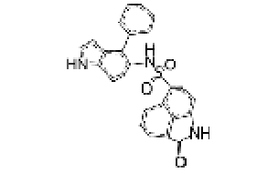 O=C1Nc2ccc(S(=O)(=O)Nc3ccc4[nH]ccc4c3-c3ccccc3)c3cccc1c23